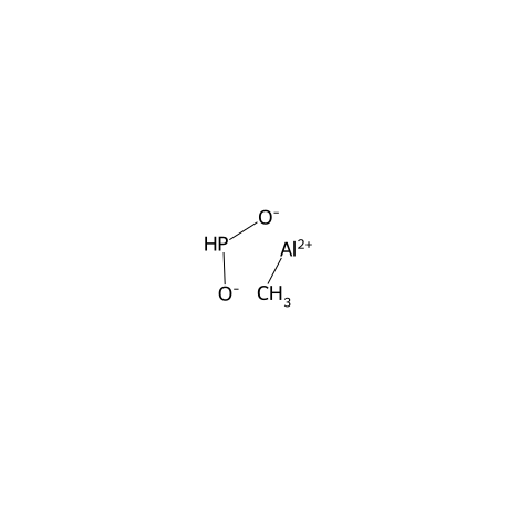 [CH3][Al+2].[O-]P[O-]